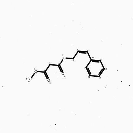 CC(C)(C)OC(=O)CC(=O)OC/C=C\c1ccccc1